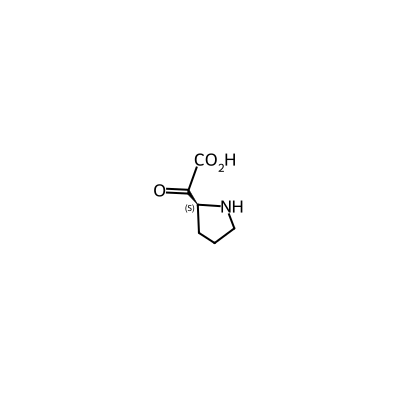 O=C(O)C(=O)[C@@H]1CCCN1